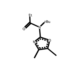 CCCCN(C(=O)CC)c1nc(C)c(C)o1